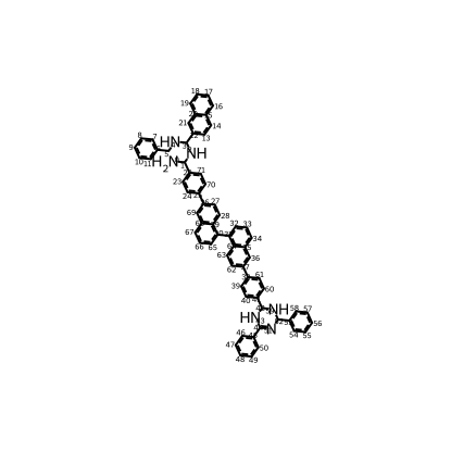 NC(NC(NCc1ccccc1)c1ccc2ccccc2c1)c1ccc(-c2ccc3c(-c4cccc5cc(-c6ccc(C7NC(c8ccccc8)=NC(c8ccccc8)N7)cc6)ccc45)cccc3c2)cc1